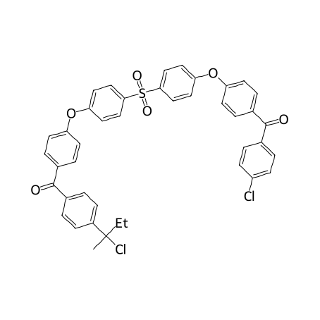 CCC(C)(Cl)c1ccc(C(=O)c2ccc(Oc3ccc(S(=O)(=O)c4ccc(Oc5ccc(C(=O)c6ccc(Cl)cc6)cc5)cc4)cc3)cc2)cc1